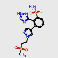 CS(=O)(=O)CCn1cc(-c2cccc(S(N)(=O)=O)c2-c2nn[nH]n2)cn1